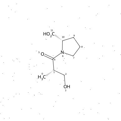 C[C@@H](CO)C(=O)N1CCC[C@H]1C(=O)O